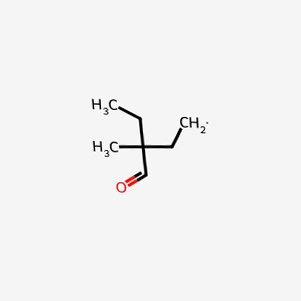 [CH2]CC(C)(C=O)CC